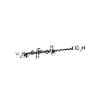 NC(=O)COCCOCCNC(=O)COCCOCCNC(=O)CCCCCCCCCCCCC(=O)O